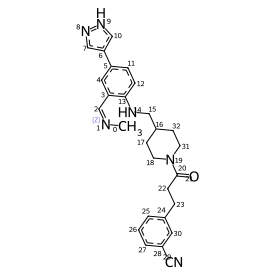 C/N=C\c1cc(-c2cn[nH]c2)ccc1NCC1CCN(C(=O)CCc2cccc(C#N)c2)CC1